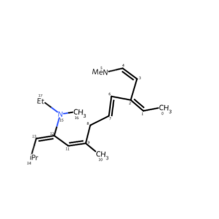 C/C=C(\C=C/NC)/C=C/C/C(C)=C\C(=C/C(C)C)N(C)CC